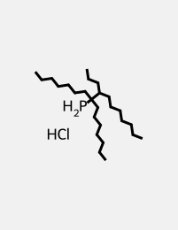 CCCCCCCC(CCC)C(P)(CCCCCCC)CCCCCCC.Cl